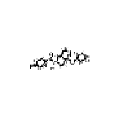 O=C(Nc1ccc2c(Oc3ccncc3)nccc2c1)c1ccc(F)cn1